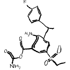 CCS(=O)(=O)c1cc(C(=O)OC(N)=O)c(N)c(C(C)c2ccc(F)cc2)c1